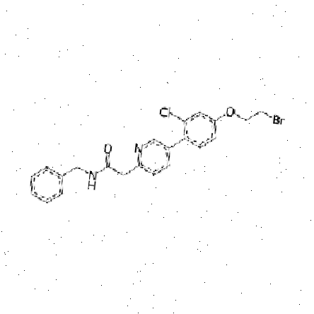 O=C(Cc1ccc(-c2ccc(OCCBr)cc2Cl)cn1)NCc1ccccc1